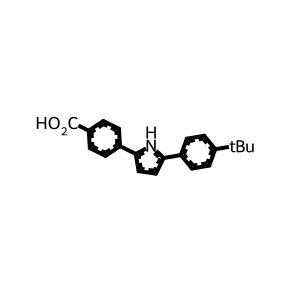 CC(C)(C)c1ccc(-c2ccc(-c3ccc(C(=O)O)cc3)[nH]2)cc1